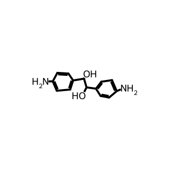 Nc1ccc(C(O)C(O)c2ccc(N)cc2)cc1